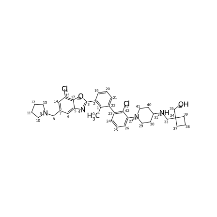 Cc1c(-c2nc3cc(CN4CCCC4)cc(Cl)c3o2)cccc1-c1cccc(N2CCC(NCC3(CO)CCC3)CC2)c1Cl